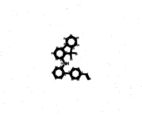 C=Cc1ccc(-c2ccccc2Nc2cccc3c2C(C)(C)c2ccccc2-3)cc1